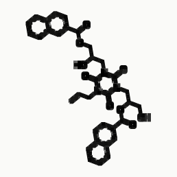 C=CCn1c(=O)n(CC(O)COC(=O)c2ccc3ccccc3c2)c(=O)n(CC(CO)OC(=O)c2ccc3ccccc3c2)c1=O